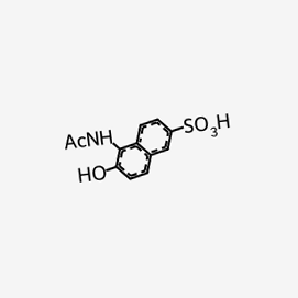 CC(=O)Nc1c(O)ccc2cc(S(=O)(=O)O)ccc12